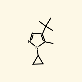 Cc1c(C(C)(C)C)cnn1C1CC1